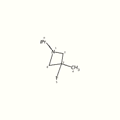 CC(C)N1CC(C)(F)C1